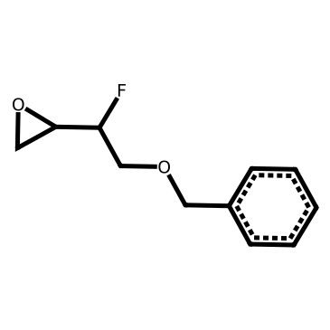 FC(COCc1ccccc1)C1CO1